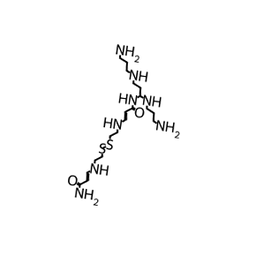 NCCCNCCC(NCCCN)NC(=O)C=CNCCSSCCNC=CC(N)=O